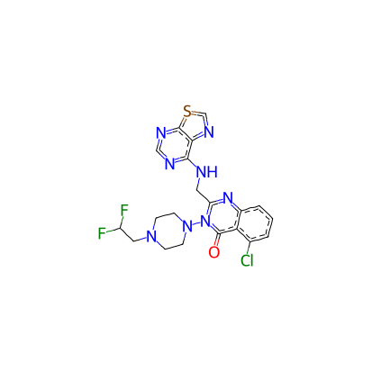 O=c1c2c(Cl)cccc2nc(CNc2ncnc3scnc23)n1N1CCN(CC(F)F)CC1